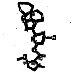 CO[C@H]1CCN(C)[C@@H]1[C@H](C)Oc1cc(Cl)nc(-c2noc3c2CCC[C@@]32CCCCC2=O)n1